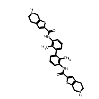 Cc1c(NC(=O)c2cc3c(s2)CNCC3)cccc1-c1cccc(NC(=O)c2cc3c(s2)CNCC3)c1C